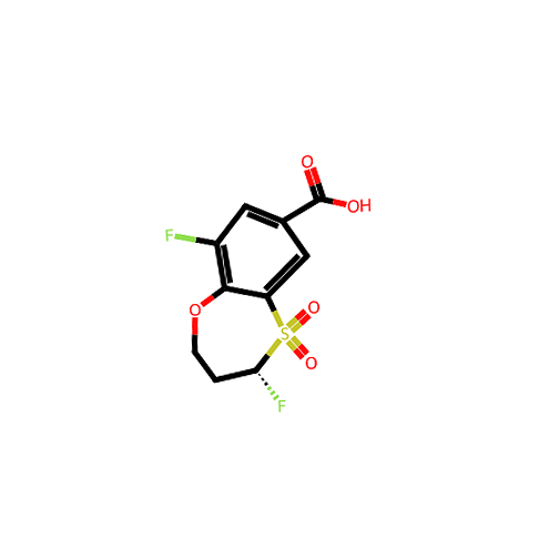 O=C(O)c1cc(F)c2c(c1)S(=O)(=O)[C@H](F)CCO2